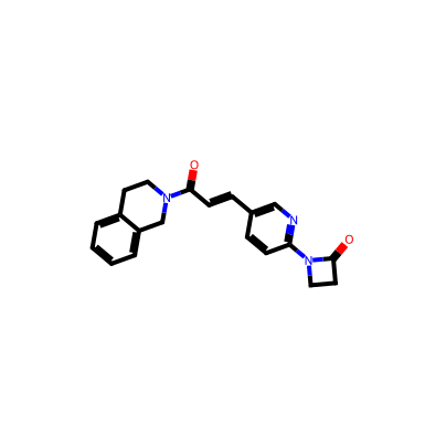 O=C(C=Cc1ccc(N2CCC2=O)nc1)N1CCc2ccccc2C1